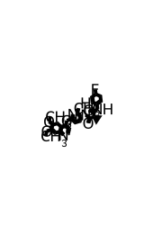 COC1=Cc2nccc(Oc3ccc(NC(=O)C4(C(=O)NC5=CCC(F)C=C5)CC4)c(C)n3)c2CC1OC